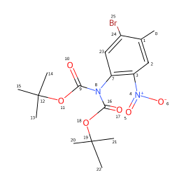 Cc1cc([N+](=O)[O-])c(N(C(=O)OC(C)(C)C)C(=O)OC(C)(C)C)cc1Br